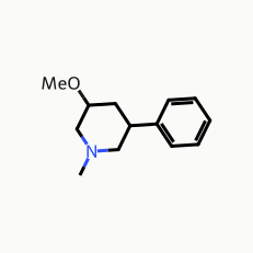 COC1CC(c2ccccc2)CN(C)C1